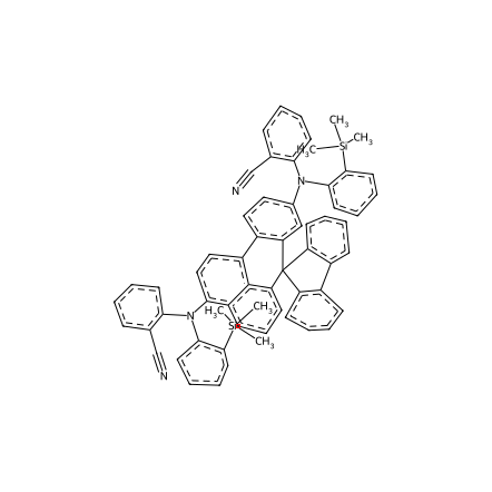 C[Si](C)(C)c1ccccc1N(c1ccc2c(c1)C1(c3ccccc3-c3ccccc31)c1cccc3c(N(c4ccccc4C#N)c4ccccc4[Si](C)(C)C)ccc-2c13)c1ccccc1C#N